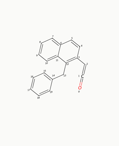 O=C=Cc1ccc2ccccc2c1Cc1ccccc1